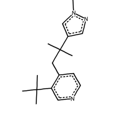 Cn1cc(C(C)(C)Cc2ccncc2C(C)(C)C)cn1